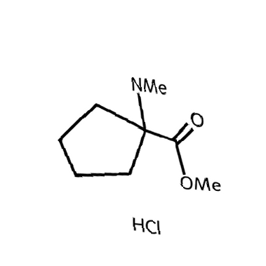 CNC1(C(=O)OC)CCCC1.Cl